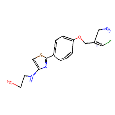 NC/C(=C\F)COc1ccc(-c2nc(NCCO)cs2)cc1